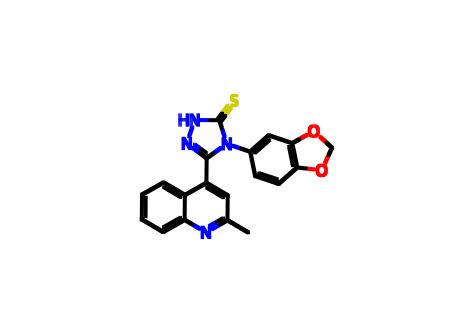 Cc1cc(-c2n[nH]c(=S)n2-c2ccc3c(c2)OCO3)c2ccccc2n1